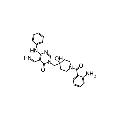 N=Cc1c(Nc2ccccc2)ncn(CC2(O)CCN(C(=O)c3ccccc3N)CC2)c1=O